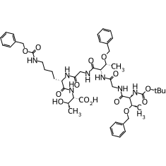 C[C@@H](O)[C@H](NC(=O)[C@H](CCCCNC(=O)OCc1ccccc1)NC(=O)CNC(=O)[C@@H](NC(=O)CNC(=O)[C@@H](NC(=O)OC(C)(C)C)[C@@H](C)OCc1ccccc1)[C@@H](C)OCc1ccccc1)C(=O)O